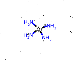 [NH2][Zn]([NH2])([NH2])[NH2]